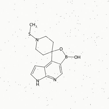 CSN1CCC2(CC1)OB(O)c1cnc3[nH]ccc3c12